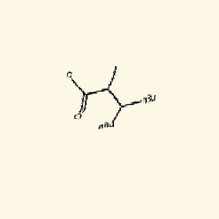 CCCCC(CCCC)C(C)C([O])=O